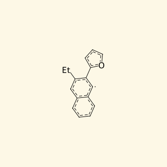 CCc1cc2ccccc2[c]c1-c1ccco1